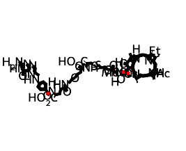 CC[C@H]1c2cc3[nH]c4c(c3C)C(=O)C(C(=O)OC)c4c3nc(cc4[nH]c(cc(n2)[C@@H]1C)c(C(C)=O)c4C)[C@@H](C)[C@@H]3CCC(=O)NNC(=O)OCCSSC[C@H](NC(=O)CCOCCNC(=O)CC[C@H](NC(=O)c1ccc(NCc2cnc3nc(N)[nH]c(=O)c3n2)cc1)C(=O)O)C(=O)O